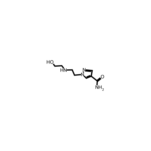 NC(=O)c1cnn(CCNCCO)c1